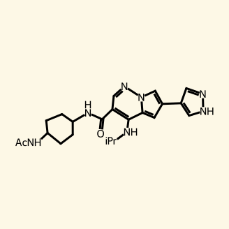 CC(=O)NC1CCC(NC(=O)c2cnn3cc(-c4cn[nH]c4)cc3c2NC(C)C)CC1